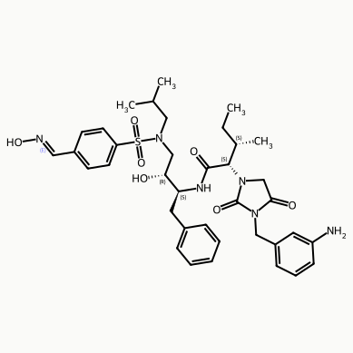 CC[C@H](C)[C@@H](C(=O)N[C@@H](Cc1ccccc1)[C@H](O)CN(CC(C)C)S(=O)(=O)c1ccc(/C=N/O)cc1)N1CC(=O)N(Cc2cccc(N)c2)C1=O